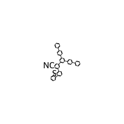 N#Cc1cc(-c2cc(-c3ccc(-c4ccccc4)cc3)cc(-c3ccc(-c4ccccc4)cc3)c2)cc(-c2cccc3c2sc2ccccc23)c1